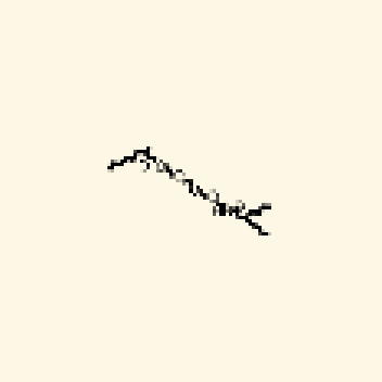 CCCCCCC(C)C(=O)COCCOCCOCCOCCNC(=O)CC(CCCC)CCCC